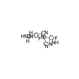 Fc1cc(N2C[C@@H]3C[C@H]2CN3)ccc1-c1ccnc2c(-c3ccc(F)c4[nH]ncc34)c(-c3ccncc3)nn12